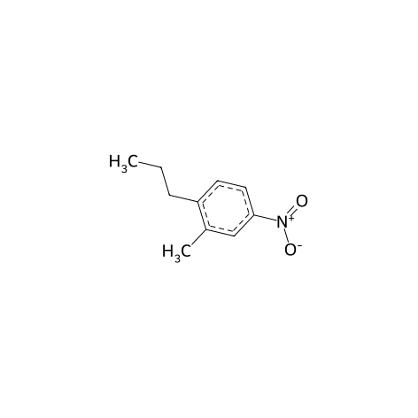 CCCc1ccc([N+](=O)[O-])cc1C